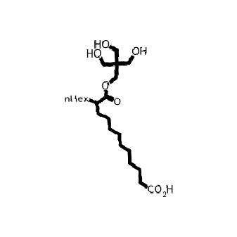 CCCCCCC(CCCCCCCCCC(=O)O)C(=O)OCC(CO)(CO)CO